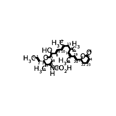 C/C=C/[C@@H]1O[C@H]([C@@H](O)/C=C/C=C(\C)C[C@@H](C)/C=C(C)\C=C\C2CC=CC(=O)O2)CC(NC(=O)O)[C@@H]1C